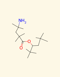 CC(C)(C)CC(OC(=O)C(C)(C)CC(C)(C)N)C(C)(C)C